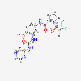 COc1ccc(NC(=O)[C@@H]2CCCN2C(=O)C(F)(F)F)cc1NC(=O)Nc1cnccn1